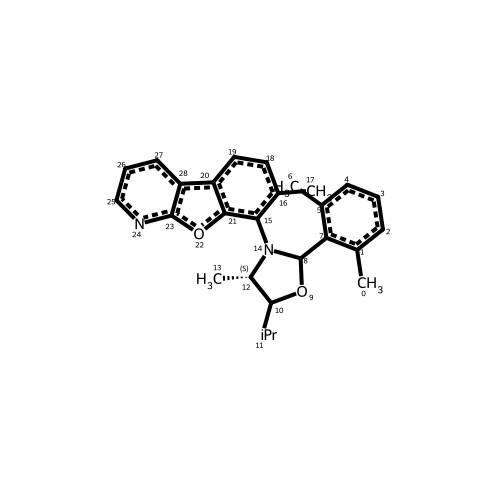 Cc1cccc(C)c1C1OC(C(C)C)[C@H](C)N1c1c(C)ccc2c1oc1ncccc12